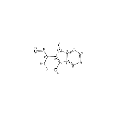 Cn1c2c(c3ccccc31)OCCC2C=O